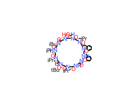 CC[C@H](C)[C@H]1C(=O)N[C@@H](CC(C)C)C(=O)N(C)[C@@H](CC(C)C)C(=O)N[C@@H](COC(C)(C)C)C(=O)N(C)[C@@H](CC(C)C)C(=O)N[C@@H](C)C(=O)N(C)C(=O)N[C@@H](Cc2ccccc2)C(=O)N(C)C(Cc2ccccc2)C(=O)N(C)[C@@H](CC(C)C)C(=O)N[C@@H](C(C)O)C(=O)N(C)[C@@H](C)C(=O)N1C